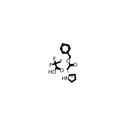 O=C(C[C@@H]1CCCN1)OCc1ccccc1.O=C(O)C(F)(F)F